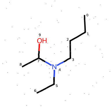 CCCCN(CC)C(C)O